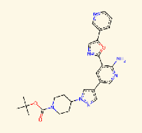 CC(C)(C)OC(=O)N1CCC(n2cc(-c3cnc(N)c(-c4ncc(-c5cccnc5)o4)c3)cn2)CC1